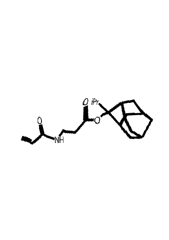 C=CC(=O)NCCC(=O)OC1(C(C)C)C2CC3CC(C2)CC1C3